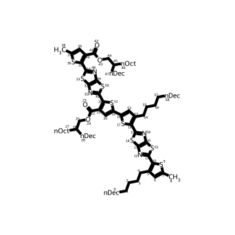 CCCCCCCCCCCCCCc1cc(C)sc1-c1nc2sc(-c3sc(-c4cc(C(=O)OCC(CCCCCCCC)CCCCCCCCCC)c(-c5nc6sc(-c7sc(C)cc7C(=O)OCC(CCCCCCCC)CCCCCCCCCC)nc6s5)s4)cc3CCCCCCCCCCCCCC)nc2s1